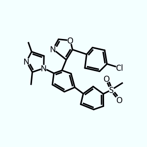 Cc1cn(-c2ccc(-c3cccc(S(C)(=O)=O)c3)cc2-c2ncoc2-c2ccc(Cl)cc2)c(C)n1